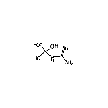 CC(O)(O)NC(=N)N